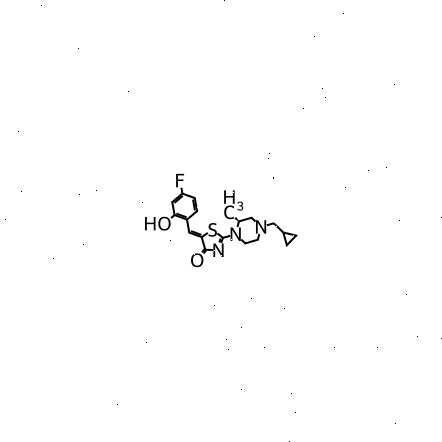 C[C@H]1CN(CC2CC2)CCN1C1=NC(=O)C(=Cc2ccc(F)cc2O)S1